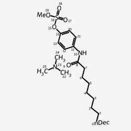 CCCCCCCCCCCCCCCCCC(=O)Nc1ccc(OS(=O)(=O)OC)cc1.CN(C)C